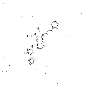 COc1cc2c(Oc3cc(-c4ccoc4)[nH]n3)ncnc2cc1OCCCN1CCOCC1.Cl